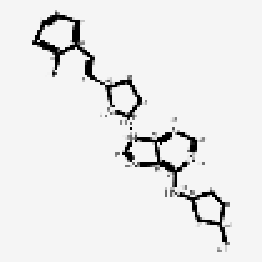 Fc1ccccc1C=C[C@H]1CC[C@H](n2cnc3c(NC4CCC(F)C4)ncnc32)O1